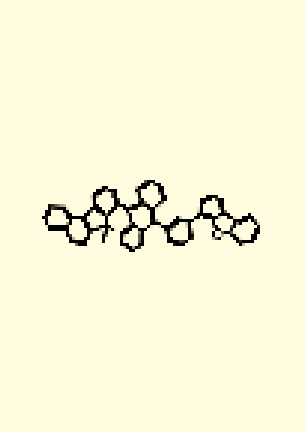 CC1(C)c2ccc3ccccc3c2-c2cccc(-c3c4ccccc4c(-c4cccc(-c5cccc6c5oc5ccccc56)c4)c4ccccc34)c21